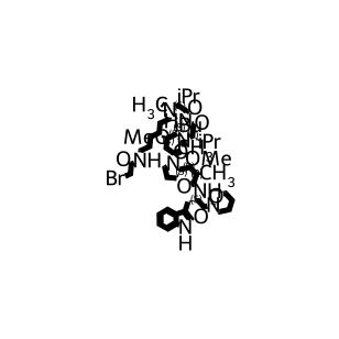 CC[C@H](C)[C@@H]([C@@H](CC(=O)N1CCC[C@H]1[C@H](OC)[C@@H](C)C(=O)N[C@@H](Cc1c[nH]c2ccccc12)C(=O)N1CCCCO1)OC)N(C)[C@H](C(=O)NC(=O)[C@H](C(C)C)N(C)CCCCCCNC(=O)CBr)C(C)C